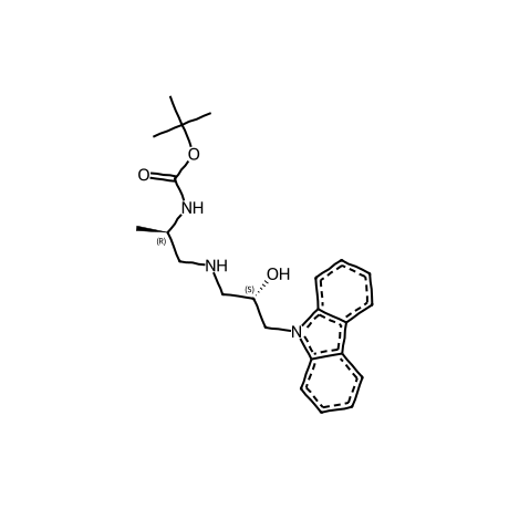 C[C@H](CNC[C@H](O)Cn1c2ccccc2c2ccccc21)NC(=O)OC(C)(C)C